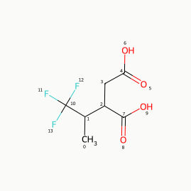 CC(C(CC(=O)O)C(=O)O)C(F)(F)F